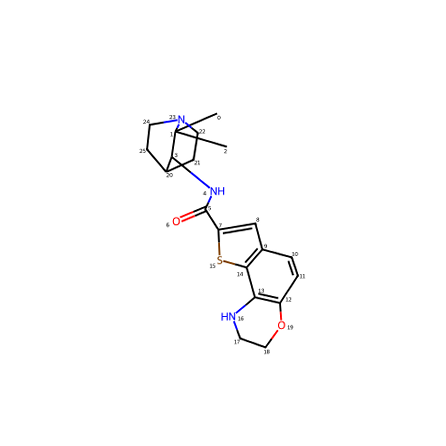 CC1(C)C(NC(=O)c2cc3ccc4c(c3s2)NCCO4)C2CCN1CC2